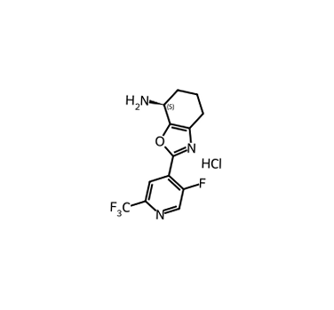 Cl.N[C@H]1CCCc2nc(-c3cc(C(F)(F)F)ncc3F)oc21